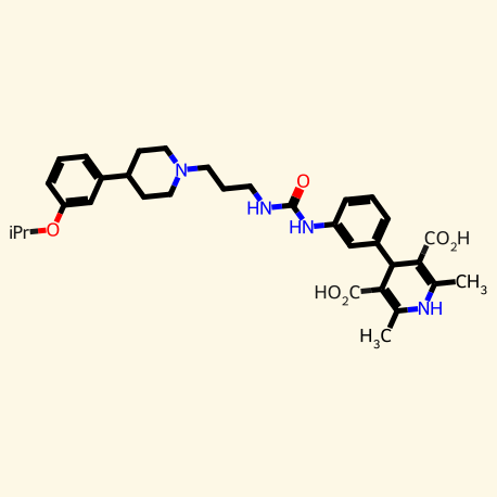 CC1=C(C(=O)O)C(c2cccc(NC(=O)NCCCN3CCC(c4cccc(OC(C)C)c4)CC3)c2)C(C(=O)O)=C(C)N1